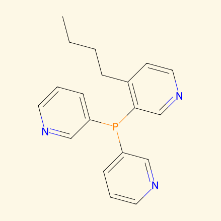 CCCCc1ccncc1P(c1cccnc1)c1cccnc1